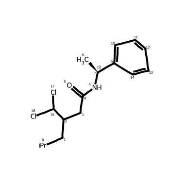 CC(C)CC(CC(=O)N[C@@H](C)c1ccccc1)C(Cl)Cl